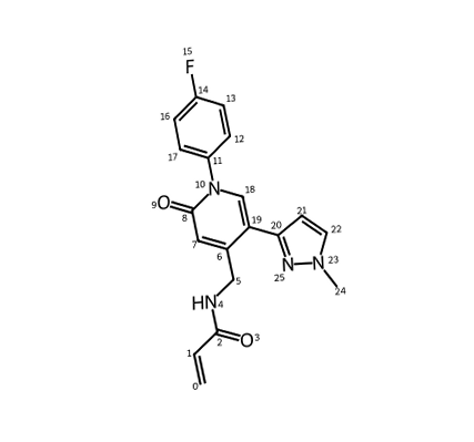 C=CC(=O)NCc1cc(=O)n(-c2ccc(F)cc2)cc1-c1ccn(C)n1